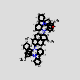 CCCc1cc(N(c2cccc3c2CCCC3)c2cccc3c4ccccc4n(-c4cccc(C(C)(C)C)c4)c23)c2ccc3c(CCC)cc(N(c4cccc5c4CCCC5)c4cccc5c6ccccc6n(-c6cccc(C(C)(C)C)c6)c45)c4ccc1c2c34